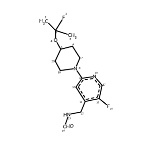 CC(C)(F)OC1CCN(c2cc(CNC=O)c(F)cn2)CC1